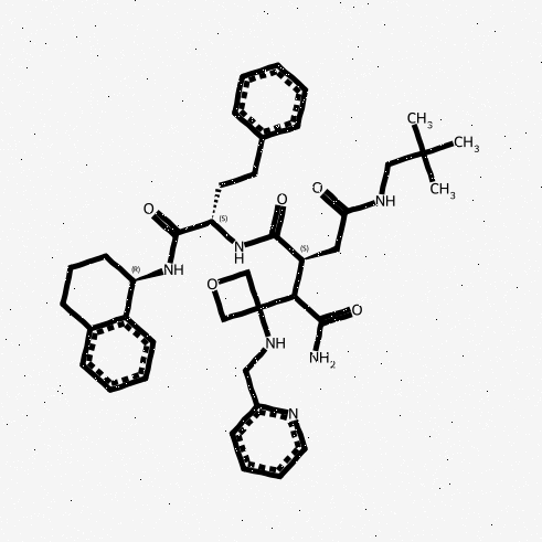 CC(C)(C)CNC(=O)C[C@H](C(=O)N[C@@H](CCc1ccccc1)C(=O)N[C@@H]1CCCc2ccccc21)C(C(N)=O)C1(NCc2ccccn2)COC1